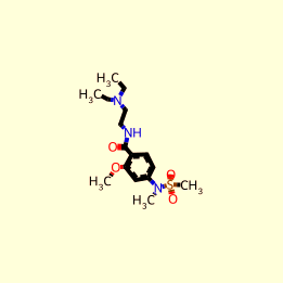 CCN(CC)CCNC(=O)c1ccc(N(C)S(C)(=O)=O)cc1OC